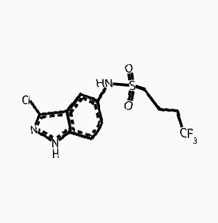 O=S(=O)(CCCC(F)(F)F)Nc1ccc2[nH]nc(Cl)c2c1